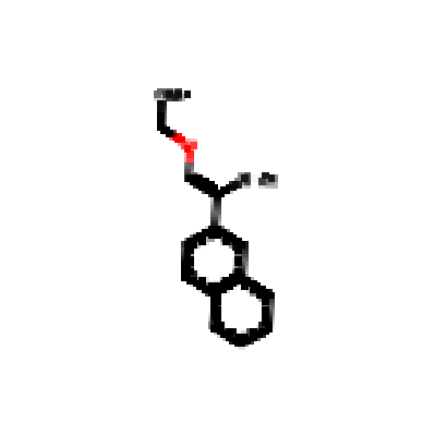 COCOC=C(NC(C)=O)c1ccc2ccccc2c1